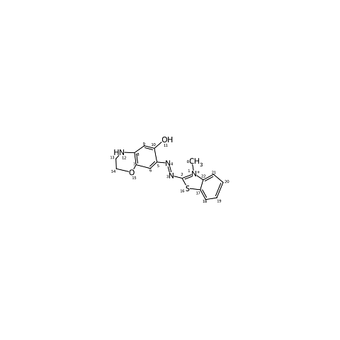 C[n+]1c(N=Nc2cc3c(cc2O)NCCO3)sc2ccccc21